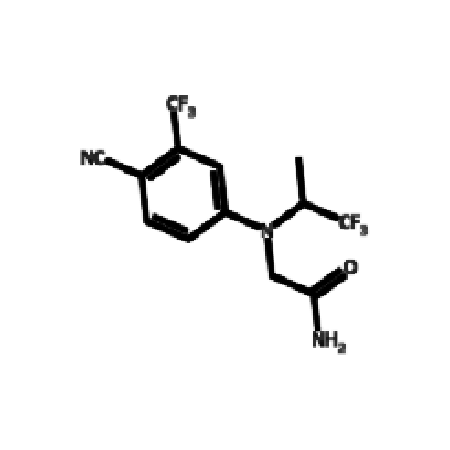 CC(N(CC(N)=O)c1ccc(C#N)c(C(F)(F)F)c1)C(F)(F)F